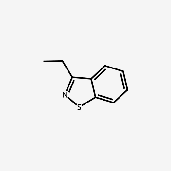 CCc1nsc2ccccc12